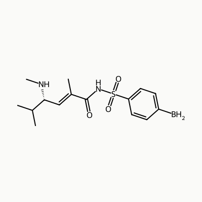 Bc1ccc(S(=O)(=O)NC(=O)/C(C)=C/[C@@H](NC)C(C)C)cc1